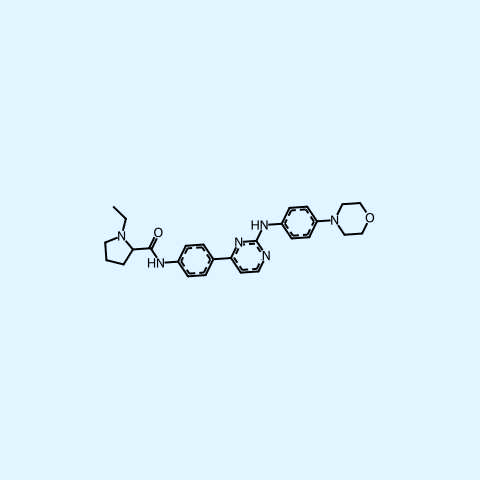 CCN1CCCC1C(=O)Nc1ccc(-c2ccnc(Nc3ccc(N4CCOCC4)cc3)n2)cc1